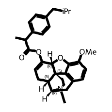 COc1ccc2c3c1O[C@H]1C(OC(=O)C(C)c4ccc(CC(C)C)cc4)=CC[C@H]4[C@@H](C2)N(C)CC[C@]314